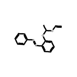 C=COC(C)Oc1ccccc1N=Nc1ccccc1